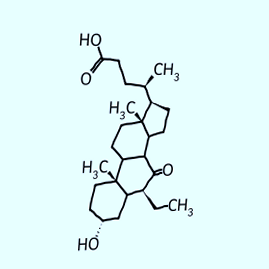 CC[C@@H]1C(=O)C2C(CC[C@@]3(C)C2CC[C@@H]3[C@H](C)CCC(=O)O)[C@@]2(C)CC[C@@H](O)CC12